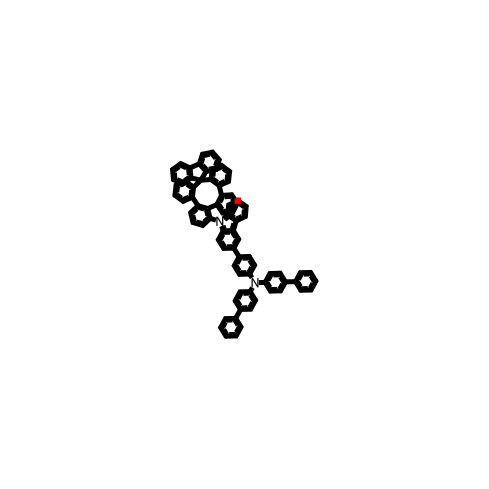 c1ccc(-c2ccc(N(c3ccc(-c4ccccc4)cc3)c3ccc(-c4ccc5c(c4)c4ccccc4n5-c4cccc5c4-c4ccccc4-c4ccccc4C4(c6ccccc6-c6ccccc64)c4ccccc4-5)cc3)cc2)cc1